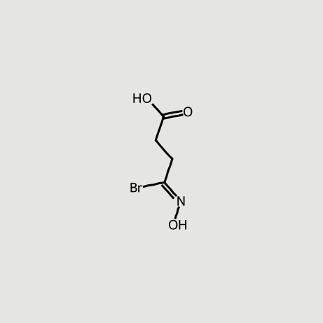 O=C(O)CC/C(Br)=N/O